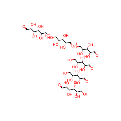 O=C[C@@H](O)[C@H](O)[C@H](O)CO.O=C[C@@H](O)[C@H](O)[C@H](O)CO.O=C[C@H](O)[C@@H](O)[C@H](O)CO.O=C[C@H](O)[C@@H](O)[C@H](O)CO.O=C[C@H](O)[C@@H](O)[C@H](O)[C@H](O)CO.O=C[C@H](O)[C@@H](O)[C@H](O)[C@H](O)CO